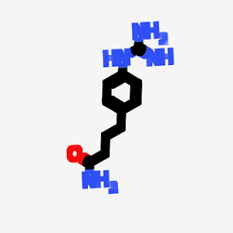 N=C(N)Nc1ccc(CCCC(N)=O)cc1